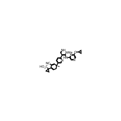 CN/C(Nc1cncc(OC2CC2)n1)=C(\C=N)c1ccc([C@@]2(C)C=C(C#N)C(C3(C(=O)O)CC3)=CC2)cn1